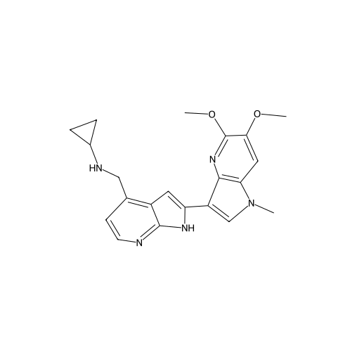 COc1cc2c(nc1OC)c(-c1cc3c(CNC4CC4)ccnc3[nH]1)cn2C